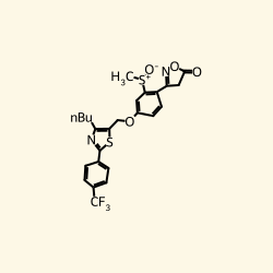 CCCCc1nc(-c2ccc(C(F)(F)F)cc2)sc1COc1ccc(C2=NOC(=O)C2)c([S+](C)[O-])c1